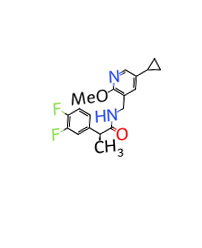 COc1ncc(C2CC2)cc1CNC(=O)[C@@H](C)c1ccc(F)c(F)c1